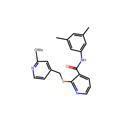 COc1cc(CSc2ncccc2C(=O)Nc2cc(C)cc(C)c2)ccn1